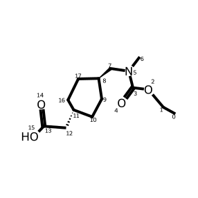 CCOC(=O)N(C)C[C@H]1CC[C@H](CC(=O)O)CC1